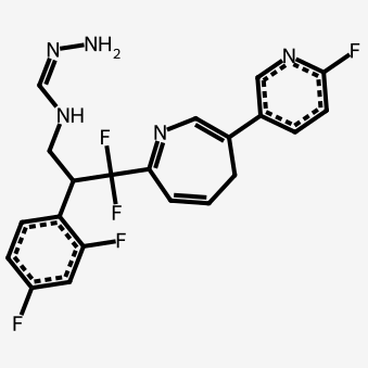 N/N=C\NCC(c1ccc(F)cc1F)C(F)(F)C1=NC=C(c2ccc(F)nc2)CC=C1